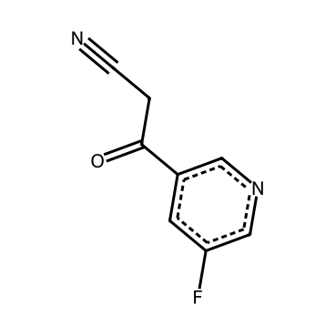 N#CCC(=O)c1cncc(F)c1